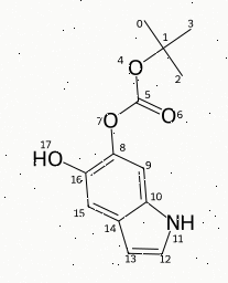 CC(C)(C)OC(=O)Oc1cc2[nH]ccc2cc1O